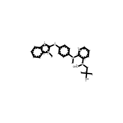 CN(c1ccc(Oc2nc3ccccc3n2C)cc1)c1ncccc1N(C=O)CC(C)(C)O